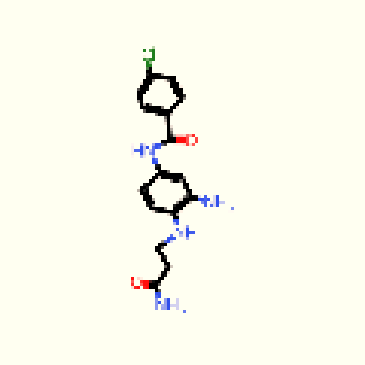 NC(=O)CCNc1ccc(NC(=O)c2ccc(Cl)cc2)cc1N